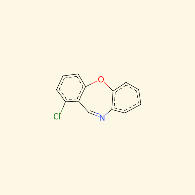 Clc1cccc2c1C=Nc1ccccc1O2